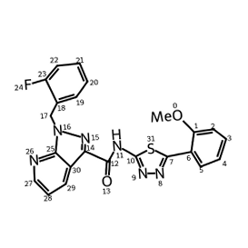 COc1ccccc1-c1nnc(NC(=O)c2nn(Cc3ccccc3F)c3ncccc23)s1